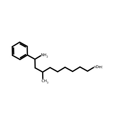 CCCCCCCCCCCCCCCCC(C)CC(N)c1ccccc1